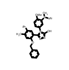 CCCN(C)c1cc(-n2c(O)nnc2-c2cc(C(C)C)c(C)cc2OCc2ccccc2)ccc1OC